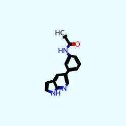 C#CC(=O)Nc1cccc(-c2cnc3[nH]ccc3c2)c1